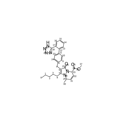 CCCCCc1c(Cc2ccc(-c3ccccc3-c3nnn[nH]3)cc2)c(=O)n2n1C(C)C=CC2C(=O)OC